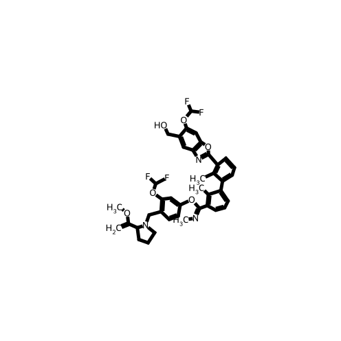 C=C(OC)C1CCCN1Cc1ccc(O/C(=N\C)c2cccc(-c3cccc(-c4nc5cc(CO)c(OC(F)F)cc5o4)c3C)c2C)cc1OC(F)F